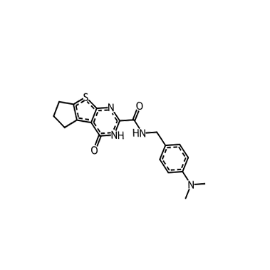 CN(C)c1ccc(CNC(=O)c2nc3sc4c(c3c(=O)[nH]2)CCC4)cc1